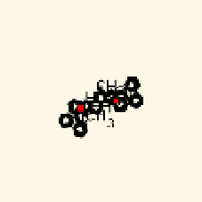 CC1C[C@@H]2[C@@H](CC[C@]3(C)C(O[Si](c4ccccc4)(c4ccccc4)c4ccccc4)CC[C@@H]23)[C@@]2(CO)CCC(O[Si](c3ccccc3)(c3ccccc3)c3ccccc3)C=C12